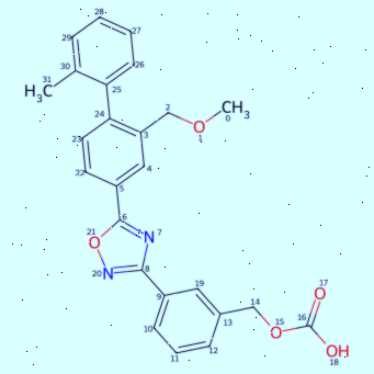 COCc1cc(-c2nc(-c3cccc(COC(=O)O)c3)no2)ccc1-c1ccccc1C